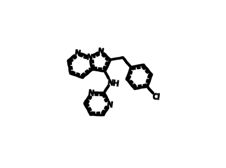 Clc1ccc(Cc2nn3ncccc3c2Nc2ncccn2)cc1